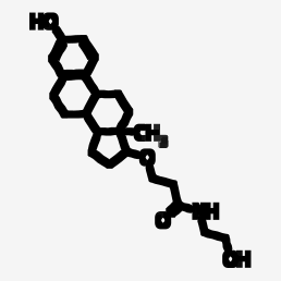 CC12CCC3c4ccc(O)cc4CCC3C1CCC2OCCC(=O)NCCO